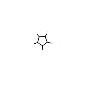 O=C(O)C1C(C(=O)O)C(C(=O)O)C(C(=O)O)C1C(=O)O